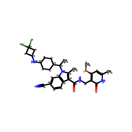 CSc1cc(C)[nH]c(=O)c1CNC(=O)c1c(C)n(C(C)C2CCC(NC3CC(F)(F)C3)CC2)c2cc(C#N)ccc12